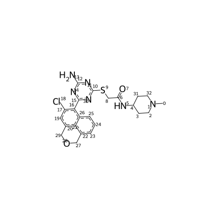 CN1CCC(NC(=O)CSc2nc(N)nc(-c3c(Cl)cc4c5c(cccc35)COC4)n2)CC1